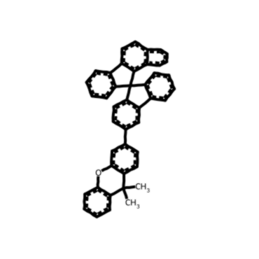 CC1(C)c2ccccc2Oc2cc(-c3ccc4c(c3)-c3ccccc3C43c4ccccc4-c4ccc5ccccc5c43)ccc21